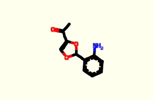 CC(=O)C1=COC(c2ccccc2N)O1